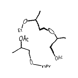 CCCOCC(C)OC(C)=O.CCOC(C)COC(C)COC(C)=O